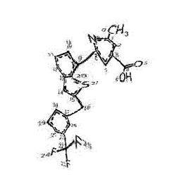 Cc1cc(C(=O)O)cc(-c2cccc3cc(Cc4cccc(C(F)(F)F)c4)sc23)n1